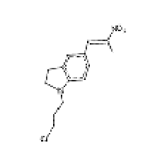 CC(=Cc1ccc2c(c1)CCN2CCCCl)[N+](=O)[O-]